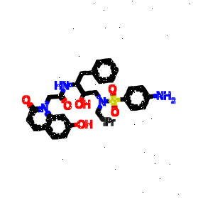 CC(C)CN(CC(O)C(Cc1ccccc1)NC(=O)Cn1c(=O)ccc2ccc(O)cc21)S(=O)(=O)c1ccc(N)cc1